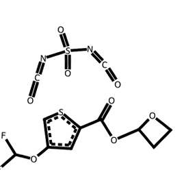 O=C(OC1CCO1)c1cc(OC(F)F)cs1.O=C=NS(=O)(=O)N=C=O